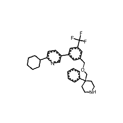 FC(F)(F)c1cc(COCC2(c3ccccc3)CCNCC2)cc(-c2ccc(C3CCCCC3)nc2)c1